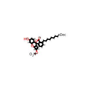 CCCCCCCCCCCCCCCCCCc1cccc2c1C(=O)OC21c2ccc(O)cc2Oc2cc(O[N+](=O)[O-])ccc21